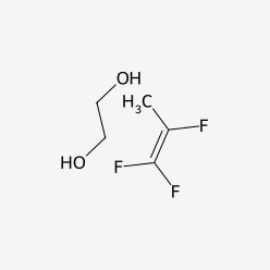 CC(F)=C(F)F.OCCO